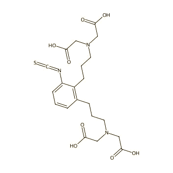 O=C(O)CN(CCCc1cccc(N=C=S)c1CCCN(CC(=O)O)CC(=O)O)CC(=O)O